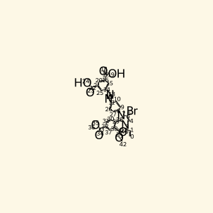 C=CCN1C=C(Br)N(c2ccc(N=Nc3cc(C(=O)O)cc(C(=O)O)c3)cc2)C1c1ccc(C(=O)OC)cc1C(=O)OC